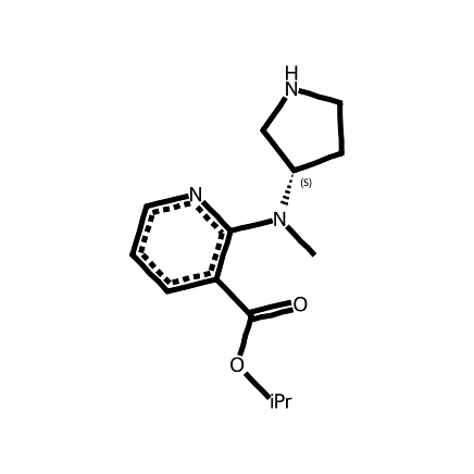 CC(C)OC(=O)c1cccnc1N(C)[C@H]1CCNC1